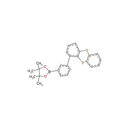 CC1(C)OB(c2cccc(-c3cccc4c3Sc3ccccc3S4)c2)OC1(C)C